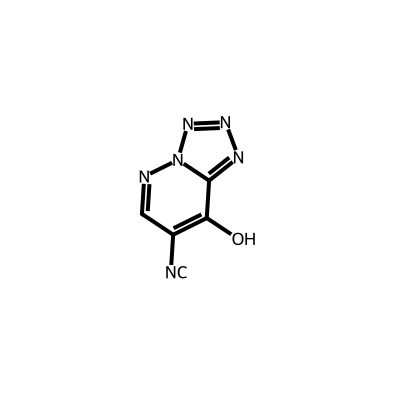 [C-]#[N+]c1cnn2nnnc2c1O